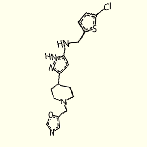 Clc1ccc(CNc2cc(C3CCN(Cc4cnco4)CC3)n[nH]2)s1